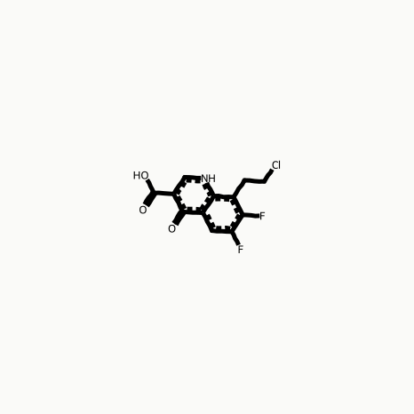 O=C(O)c1c[nH]c2c(CCCl)c(F)c(F)cc2c1=O